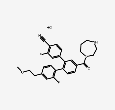 COCCc1ccc(-c2ccc(C(=O)N3CCCNCC3)cc2-c2ccc(C#N)c(F)c2)c(F)c1.Cl